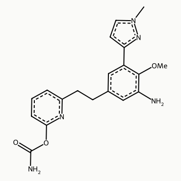 COc1c(N)cc(CCc2cccc(OC(N)=O)n2)cc1-c1ccn(C)n1